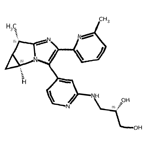 Cc1cccc(-c2nc3n(c2-c2ccnc(NC[C@H](O)CO)c2)[C@H]2CC2[C@@H]3C)n1